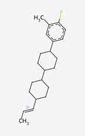 C/C=C/C1CCC(C2CCC(c3ccc(F)c(C)c3)CC2)CC1